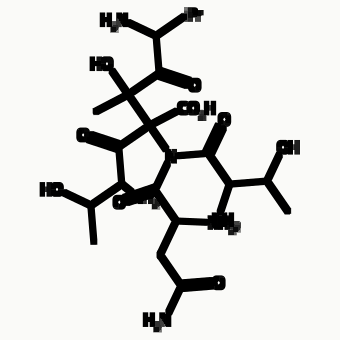 CC(C)C(N)C(=O)C(C)(O)C(C(=O)O)(C(=O)C(N)C(C)O)N(C(=O)C(N)CC(N)=O)C(=O)C(N)C(C)O